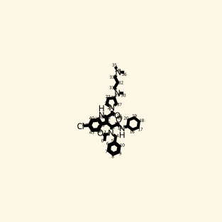 CC(=O)N(Cc1ccccc1)C(C(=O)NC1CCCCC1)c1c(C(=O)N2CC[C@H](N(C)CCCN(C)C)C2)[nH]c2cc(Cl)ccc12